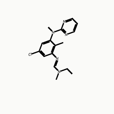 CCN(C)C=Nc1cc(Cl)cc(N(C)c2ncccn2)c1C